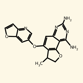 CC1COc2c1c(Oc1cnc3ccoc3c1)cc1nc(N)nc(N)c21